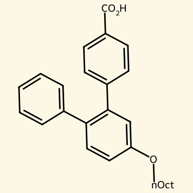 CCCCCCCCOc1ccc(-c2ccccc2)c(-c2ccc(C(=O)O)cc2)c1